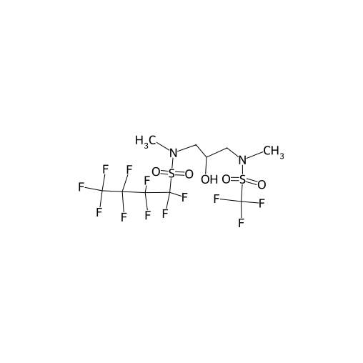 CN(CC(O)CN(C)S(=O)(=O)C(F)(F)C(F)(F)C(F)(F)C(F)(F)F)S(=O)(=O)C(F)(F)F